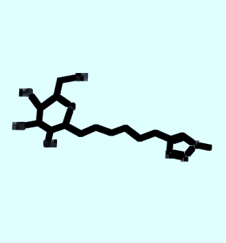 Cn1cc(CCCCCCC2OC(CO)C(O)C(O)C2O)nn1